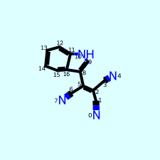 N#CC(C#N)=C(C#N)c1c[nH]c2ccccc12